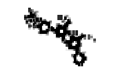 CCc1cc(N2CCOCC2)cc2c1Nc1c(CC)cc(N3CCC(NS(=O)(=O)C(F)(F)F)CC3)cc1S2